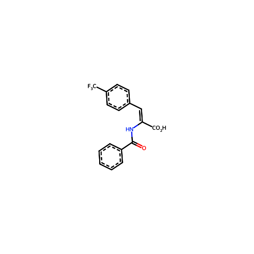 O=C(O)C(=Cc1ccc(C(F)(F)F)cc1)NC(=O)c1ccccc1